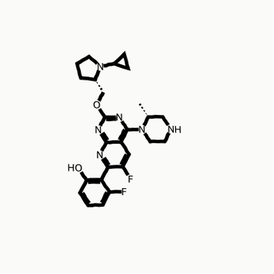 C[C@@H]1CNCCN1c1nc(OC[C@@H]2CCCN2C2CC2)nc2nc(-c3c(O)cccc3F)c(F)cc12